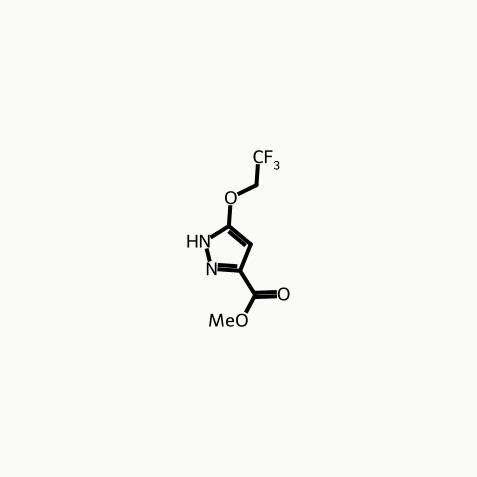 COC(=O)c1cc(OCC(F)(F)F)[nH]n1